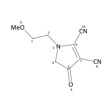 COCCN1CC(=O)C(C#N)=C1C#N